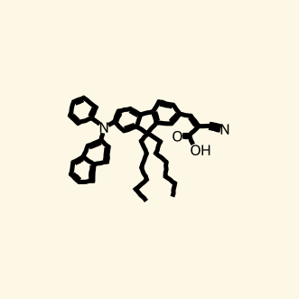 CCCCCCC1(CCCCCC)c2cc(C=C(C#N)C(=O)O)ccc2-c2ccc(N(c3ccccc3)c3ccc4ccccc4c3)cc21